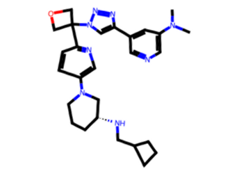 CN(C)c1cncc(-c2cn(C3(c4ccc(N5CCC[C@@H](NCC6CCC6)C5)cn4)COC3)nn2)c1